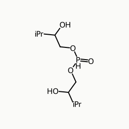 CC(C)C(O)CO[PH](=O)OCC(O)C(C)C